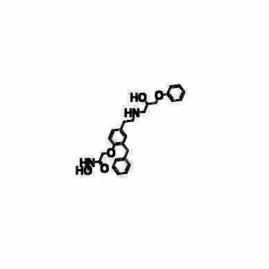 O=C(COc1ccc(CCNCC(O)COc2ccccc2)cc1Cc1ccccc1)NO